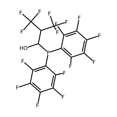 OC(C(C(F)(F)F)C(F)(F)F)P(c1c(F)c(F)c(F)c(F)c1F)c1c(F)c(F)c(F)c(F)c1F